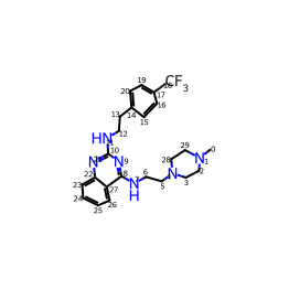 CN1CCN(CCNc2nc(NCCc3ccc(C(F)(F)F)cc3)nc3ccccc23)CC1